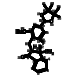 BC1(B)c2ncccc2C(=O)N1Cc1c(F)cc(B2OC(C)(C)C(C)(C)O2)cc1OCC(C)C